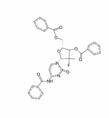 CC1(F)C(OC(=O)c2ccccc2)[C@@H](COC(=O)c2ccccc2)O[C@H]1n1ccc(NC(=O)c2ccccc2)nc1=O